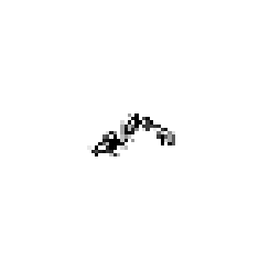 COc1cc(C)c(S(=O)(=O)N(Cc2nc(C(=O)N3CCN(CC4CCNCC4)CC3)co2)C2CC2)c(C)c1